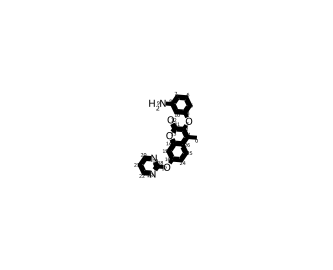 Cc1c(Oc2cccc(N)c2)c(=O)oc2cc(Oc3ncccn3)ccc12